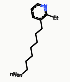 CCCCCCCCCCCCCCCCc1cccnc1CC